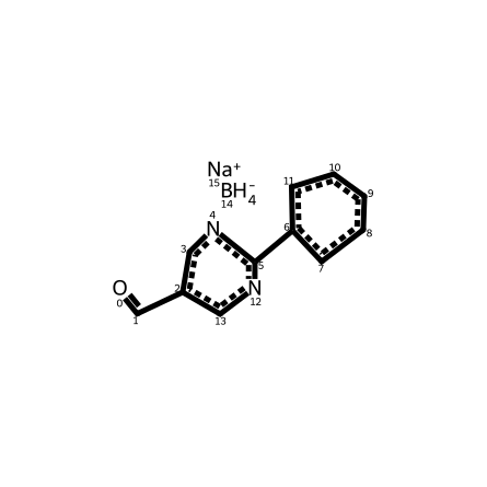 O=Cc1cnc(-c2ccccc2)nc1.[BH4-].[Na+]